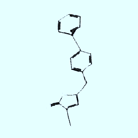 CC1=CC(Cc2ccc(-c3ccccc3)cc2)NC1=O